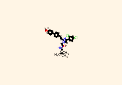 COc1ccc(-c2ccc(/C=C/c3nc(-c4ccc(Cl)cc4Cl)cn3CC(=O)NCCC(C)(C)C)cc2)cc1